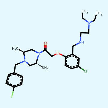 CCN(CC)CCNCc1cc(Cl)ccc1OCC(=O)N1C[C@H](C)N(Cc2ccc(F)cc2)C[C@H]1C